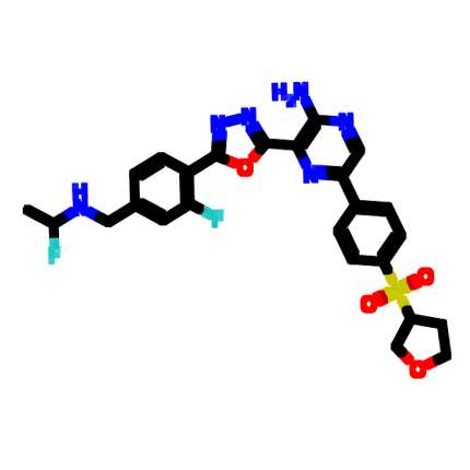 CC(F)NCc1ccc(-c2nnc(-c3nc(-c4ccc(S(=O)(=O)C5CCOC5)cc4)cnc3N)o2)c(F)c1